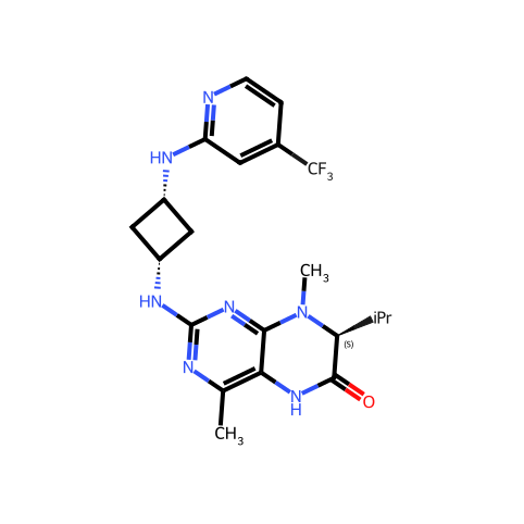 Cc1nc(N[C@H]2C[C@@H](Nc3cc(C(F)(F)F)ccn3)C2)nc2c1NC(=O)[C@H](C(C)C)N2C